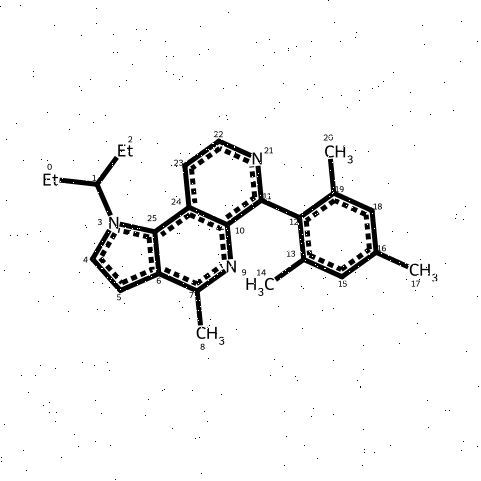 CCC(CC)n1ccc2c(C)nc3c(-c4c(C)cc(C)cc4C)nccc3c21